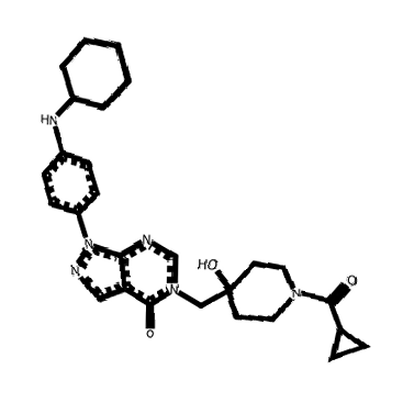 O=C(C1CC1)N1CCC(O)(Cn2cnc3c(cnn3-c3ccc(NC4CCCCC4)cc3)c2=O)CC1